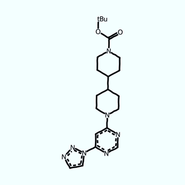 CC(C)(C)OC(=O)N1CCC(C2CCN(c3cc(-n4ccnn4)ncn3)CC2)CC1